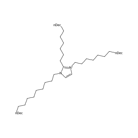 CCCCCCCCCCCCCCCCCCCn1cc[n+](CCCCCCCCCCCCCCCCC)c1CCCCCCCCCCCCCCCC